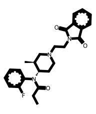 CCC(=O)N(c1ccccc1F)[C@H]1CCN(CCN2C(=O)c3ccccc3C2=O)C[C@@H]1C